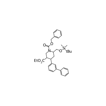 CCOC(=O)C1CN(C(=O)OCc2ccccc2)C(CO[Si](C)(C)C(C)(C)C)CC1c1cccc(-c2ccccc2)c1